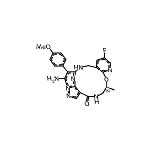 COc1ccc(-c2c3nc4c(cnn4c2N)C(=O)NC[C@H](C)Oc2ncc(F)cc2CN3)cc1